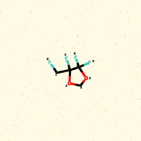 FCC1(F)OCOC1(F)F